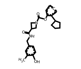 Cc1cc(CNC(=O)C2CN(C(=O)Oc3ccccc3C3CCCC3)C2)ccc1O